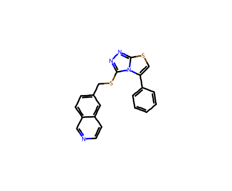 c1ccc(-c2csc3nnc(SCc4ccc5cnccc5c4)n23)cc1